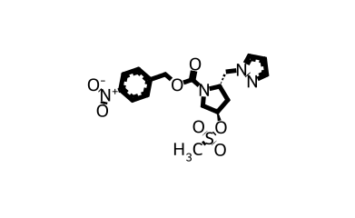 CS(=O)(=O)O[C@@H]1C[C@@H](Cn2cccn2)N(C(=O)OCc2ccc([N+](=O)[O-])cc2)C1